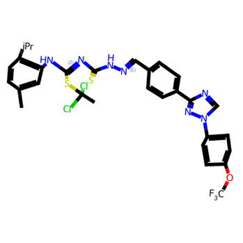 Cc1ccc(C(C)C)c(N/C(=N/C(=S)N/N=C/c2ccc(-c3ncn(-c4ccc(OC(F)(F)F)cc4)n3)cc2)SC(C)(Cl)Cl)c1